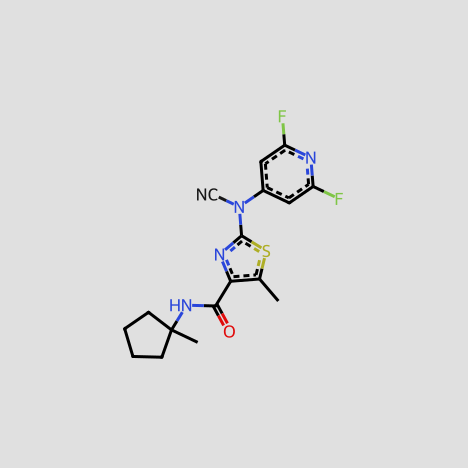 Cc1sc(N(C#N)c2cc(F)nc(F)c2)nc1C(=O)NC1(C)CCCC1